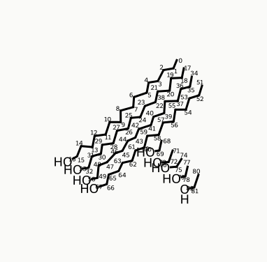 CCCCCCCCCCCCCCCCO.CCCCCCCCCCCCCCCCO.CCCCCCCCCCCCCCCCO.CCCCCCCCCCCCCCCCO.CCO.CCO.CCO.CCO.CCO